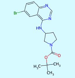 CC(C)(C)OC(=O)N1CCC(Nc2ncnc3ccc(Br)cc23)C1